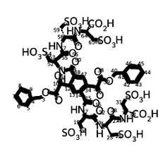 O=C(OCc1ccccc1)C(=O)c1cc(C(=O)NC(CS(=O)(=O)O)C(=O)N[C@H](CS(=O)(=O)O)C(=O)N[C@H](CS(=O)(=O)O)C(=O)O)c(C(=O)C(=O)OCc2ccccc2)cc1C(=O)NC(CS(=O)(=O)O)C(=O)N[C@H](CS(=O)(=O)O)C(=O)N[C@H](CS(=O)(=O)O)C(=O)O